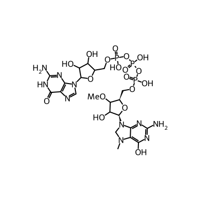 COC1C(O)[C@H](N2CN(C)c3c(O)nc(N)nc32)O[C@@H]1COP(=O)(O)OP(=O)(O)OP(=O)(O)OCC1OC(n2cnc3c(=O)[nH]c(N)nc32)C(O)C1O